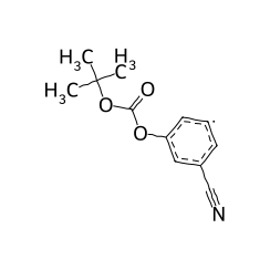 CC(C)(C)OC(=O)Oc1c[c]cc(C#N)c1